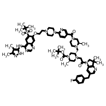 Cc1n[nH]c(Nc2ncnc3cc(OCCN4CCN(c5ccc(C(=O)N6CCN(C[C@H]7CN(C(=O)OC(C)(C)C)[C@@H](C)CN7CC(=O)N7CC(C)(C)c8ncc(Cc9ccc(F)cc9)cc87)[C@H](C)C6)cn5)CC4)c(S(=O)(=O)C(C)(C)C)cc23)c1C